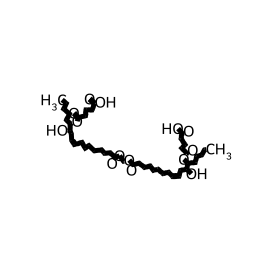 CCCCCC(OC(=O)CCCC(=O)O)C(O)C/C=C\CCCCCCCC(=O)OCOC(=O)CCCCCCC/C=C\CC(O)C(CCCCC)OC(=O)CCCC(=O)O